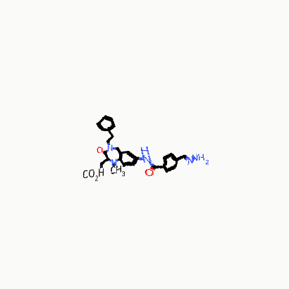 CN1c2ccc(NC(=O)c3ccc(C=NN)cc3)cc2CN(CCc2ccccc2)C(=O)C1CC(=O)O